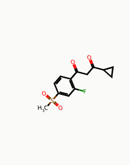 CS(=O)(=O)c1ccc(C(=O)CC(=O)C2CC2)c(F)c1